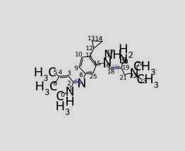 CN/C(C=C(C)C)=N/c1ccc(C2CC2)c(N(N)/C=C(\N)CN(C)C)c1